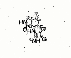 CNc1c(Nc2c(F)cc(C)c3c2C(=O)NC3)c(=O)c1=O